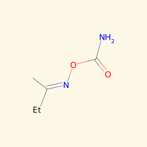 CC/C(C)=N/OC(N)=O